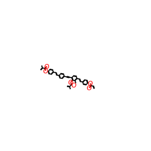 C=CC(=O)Oc1ccc(/C=C/c2ccc(C#Cc3ccc(/C=C/c4ccc(OC(=O)C(=C)C)cc4)cc3)c(OC(=O)C(=C)C)c2C)cc1